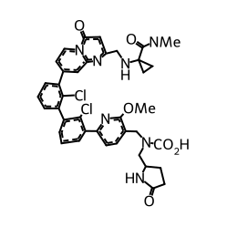 CNC(=O)C1(NCc2cc(=O)n3ccc(-c4cccc(-c5cccc(-c6ccc(CN(CC7CCC(=O)N7)C(=O)O)c(OC)n6)c5Cl)c4Cl)cc3n2)CC1